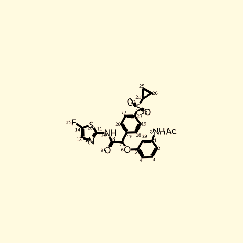 CC(=O)Nc1cccc(OC(C(=O)Nc2ncc(F)s2)c2ccc(S(=O)(=O)C3CC3)cc2)c1